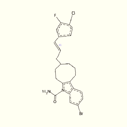 NC(=O)n1c2c(c3ccc(Br)cc31)CCCC(C/C=C/c1ccc(Cl)c(F)c1)CC2